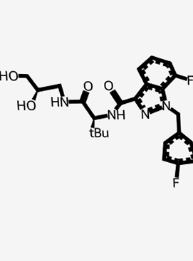 CC(C)(C)[C@H](NC(=O)c1nn(Cc2ccc(F)cc2)c2c(F)cccc12)C(=O)NC[C@@H](O)CO